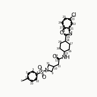 Cc1ccc(S(=O)(=O)N2CC(CC(=O)NC3CCC(c4nc5cc(Cl)ccc5o4)CC3)C2)cc1